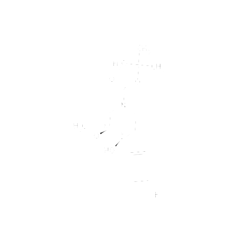 CO[C@H]1CN(C(=O)OC(C)(C)C)CC[C@]1(O)c1ccc(F)cc1